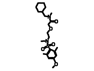 COc1cc(C)c(S(=O)(=O)N(C)CCOCC(=O)N(C)CC2CCCCC2)c(C)c1